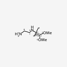 CO[SiH](OC)C(C)(C)NCCN